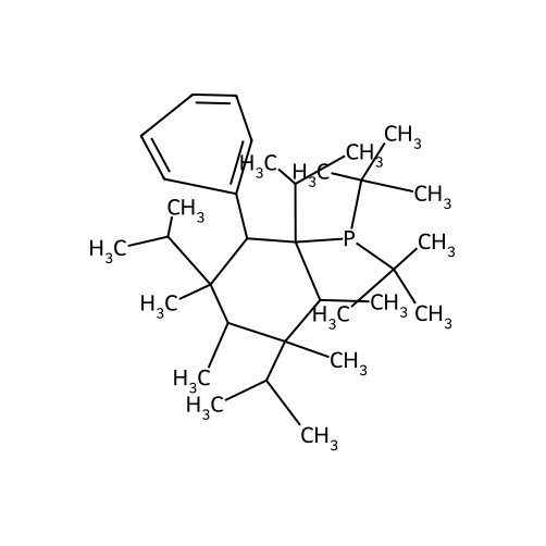 CC(C)C1(C)C(C)C(C)(C(C)C)C(c2ccccc2)C(C(C)C)(P(C(C)(C)C)C(C)(C)C)C1C